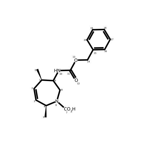 C[C@@H]1C=C[C@H](C)N(C(=O)O)CC1NC(=O)OCc1ccccc1